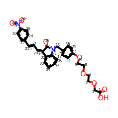 O=C(O)COCCOCCOc1ccc(CN2C(=O)/C(=C\C=C\c3ccc([N+](=O)[O-])cc3)c3ccccc32)cc1